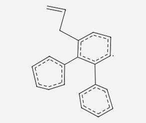 C=CCc1cc[c]c(-c2ccccc2)c1-c1ccccc1